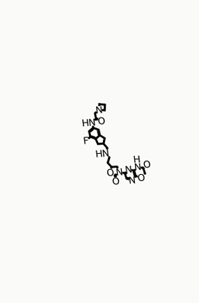 O=C(CN1CCC1)Nc1cc(F)c2c(c1)CC(CNCCC1CN(c3cnc4c(n3)NC(=O)CO4)C(=O)O1)C2